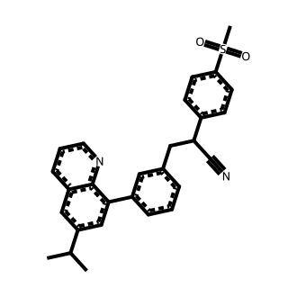 CC(C)c1cc(-c2cccc(CC(C#N)c3ccc(S(C)(=O)=O)cc3)c2)c2ncccc2c1